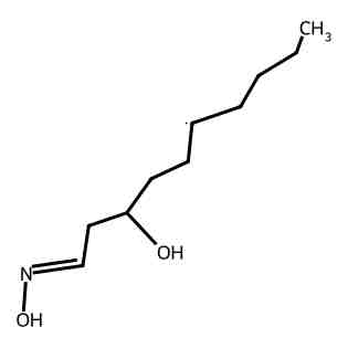 CCCC[CH]CCC(O)CC=NO